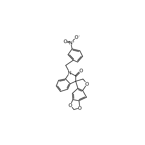 O=C1N(Cc2cccc([N+](=O)[O-])c2)c2ccccc2C12COc1cc3c(cc12)OCO3